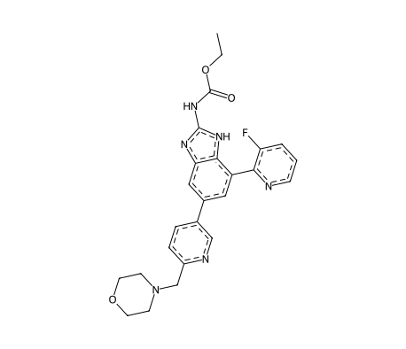 CCOC(=O)Nc1nc2cc(-c3ccc(CN4CCOCC4)nc3)cc(-c3ncccc3F)c2[nH]1